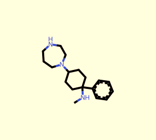 CNC1(c2ccccc2)CCC(N2CCCNCC2)CC1